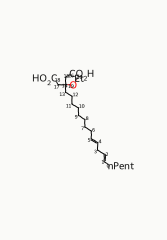 CCCCCC=CCC=CCCCCCCCCC(CC(=O)O)(CC(=O)O)OCC